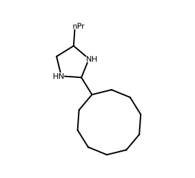 CCCC1CNC(C2CCCCCCCCC2)N1